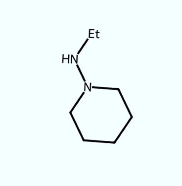 CCNN1CCCCC1